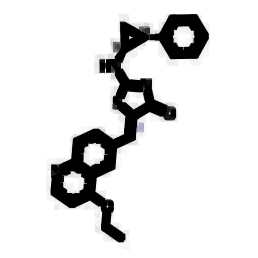 CCOc1ccnc2ccc(/C=C3\SC(N[C@H]4C[C@@H]4c4ccccc4)=NC3=O)cc12